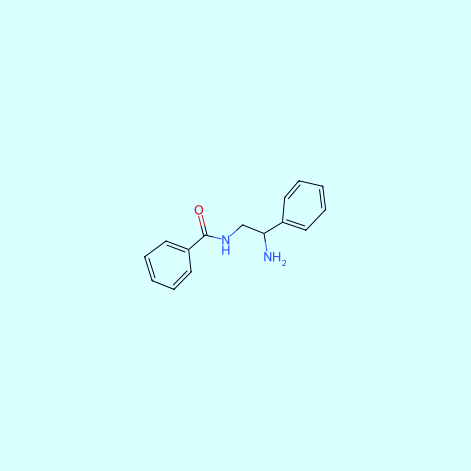 NC(CNC(=O)c1ccccc1)c1ccccc1